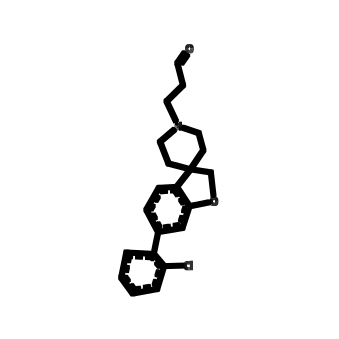 O=CCCN1CCC2(CC1)COc1cc(-c3ccccc3Cl)ccc12